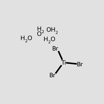 O.O.O.O.[Br][Ti]([Br])[Br]